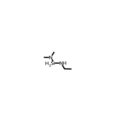 CCN[SiH2]N(C)C